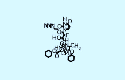 CC(NP(=O)(NC(C)C(=O)OC1CCCCC1)OC[C@@H](O)[C@@H](F)[C@@H](OCCN=[N+]=[N-])n1ccc(=O)[nH]c1=O)C(=O)OC1CCCCC1